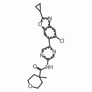 CC1(C(=O)Nc2cnc(-c3cc4oc(C5CC5)nc4cc3Cl)cn2)CCOCC1